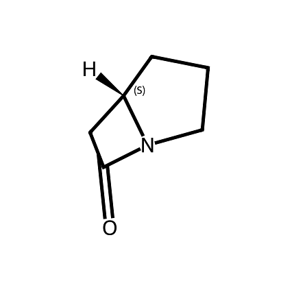 O=C1C[C@@H]2CCCN12